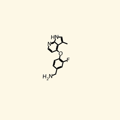 Cc1c[nH]c2nccc(Oc3ccc(CN)cc3F)c12